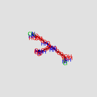 O=C(CCOCC(COCCC(=O)NCCOCCOCCOCCOC[C@H]1OC[C@@H](Nc2nc(Cl)ns2)[C@@H](O)[C@H]1O)NC(=O)COCCOCCOCCNc1ccc([N+](=O)[O-])cc1[N+](=O)[O-])NCCOCCOCCOCCOC[C@H]1OC[C@@H](Nc2nc(Cl)ns2)[C@@H](O)[C@H]1O